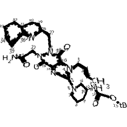 CC#CCn1c(N2CCC[C@@H](NC(=O)OC(C)(C)C)C2)nc2c(=O)n(CC(N)=O)n(Cc3ccc4ccccc4n3)c(=O)c21